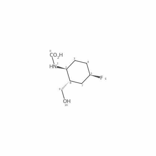 O=C(O)N[C@H]1CC[C@@H](F)C[C@@H]1CO